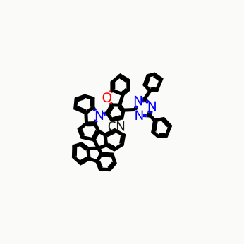 N#Cc1cc(-c2nc(-c3ccccc3)nc(-c3ccccc3)n2)c2c(oc3ccccc32)c1-n1c2ccccc2c2ccc3c(c21)-c1ccccc1C31c2ccccc2-c2ccccc21